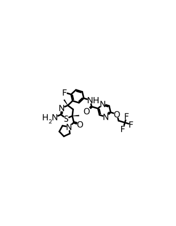 C[C@]1(C(=O)N2CCCC2)C[C@@](C)(c2cc(NC(=O)c3cnc(OCC(F)(F)F)cn3)ccc2F)N=C(N)S1